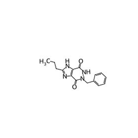 CCCc1nc2c(=O)n(Cc3ccccc3)[nH]c(=O)c2[nH]1